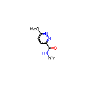 CCCNC(=O)c1ccc(OC)nn1